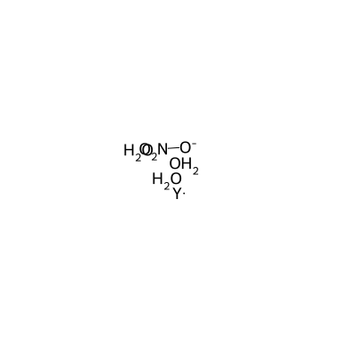 O.O.O.O=[N+]([O-])[O-].[Y]